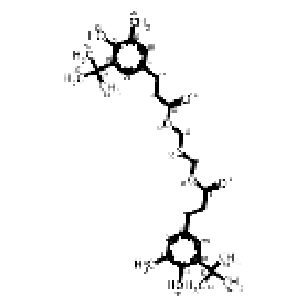 Cc1cc(CCC(=O)OCSCOC(=O)CCc2cc(C)c(O)c(C(C)(C)C)c2)cc(C(C)(C)C)c1O